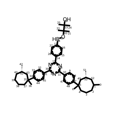 CC1CCCC(C)(c2ccc(-c3nc(-c4ccc(BOC(C)(C)C(C)(C)O)cc4)nc(-c4ccc(C5(C)CCCC[C@H](C)C5)cc4)n3)cc2)C[C@H](C)C1